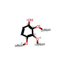 CCCCCCCCCOc1ccc(O)c(OCCCCCCCCC)c1OCCCCCCCCC